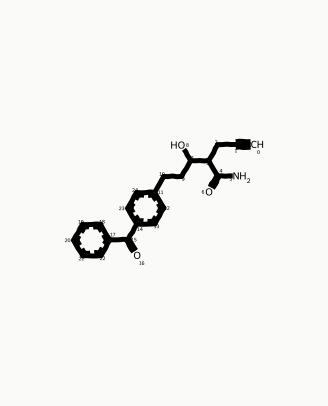 C#CCC(C(N)=O)C(O)CCc1ccc(C(=O)c2ccccc2)cc1